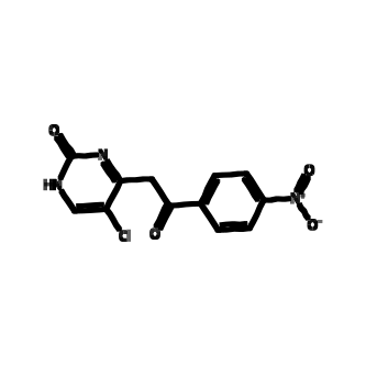 O=C(Cc1nc(=O)[nH]cc1Cl)c1ccc([N+](=O)[O-])cc1